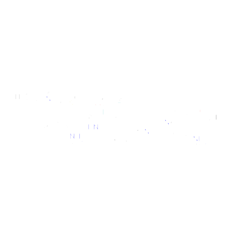 COC1CN(c2ccc3c(n2)CCC(NC(=O)c2sc4nc(C)ccc4c2N)C3(F)F)CC1N